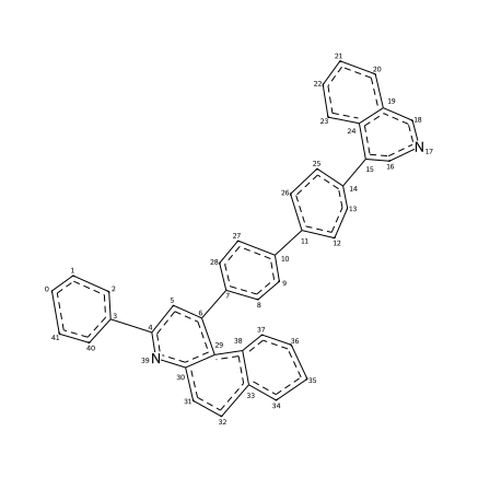 c1ccc(-c2cc(-c3ccc(-c4ccc(-c5cncc6ccccc56)cc4)cc3)c3c(ccc4ccccc43)n2)cc1